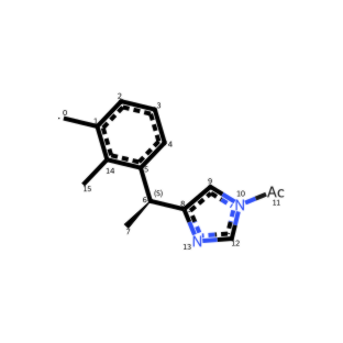 [CH2]c1cccc([C@H](C)c2cn(C(C)=O)cn2)c1C